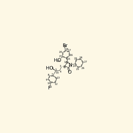 O=C1[C@H](CC[C@H](O)c2ccc(F)cc2)[C@@H](c2ccc(Br)cc2O)N1c1ccccc1